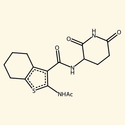 CC(=O)Nc1sc2c(c1C(=O)NC1CCC(=O)NC1=O)CCCC2